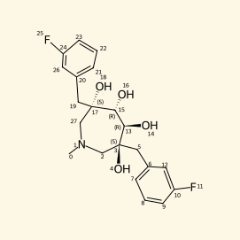 CN1C[C@@](O)(Cc2cccc(F)c2)[C@H](O)[C@@H](O)[C@](O)(Cc2cccc(F)c2)C1